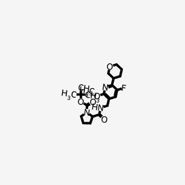 COc1nc(C2CCCOC2)c(F)cc1CNC(=O)C1CCCN1C(=O)OC(C)(C)C